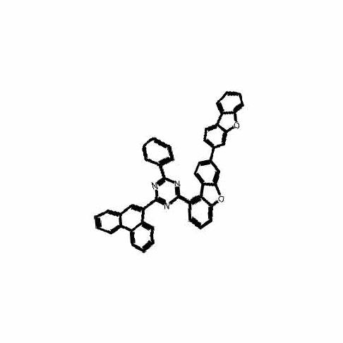 c1ccc(-c2nc(-c3cc4ccccc4c4ccccc34)nc(-c3cccc4oc5cc(-c6ccc7c(c6)oc6ccccc67)ccc5c34)n2)cc1